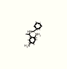 CC(NCc1ccccc1)c1cc(N)ccc1N